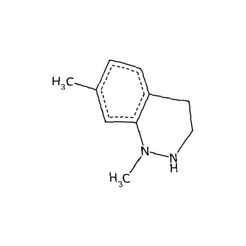 Cc1ccc2c(c1)N(C)NCC2